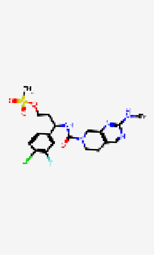 CC(C)Nc1ncc2c(n1)CN(C(=O)NC(CCOS(C)(=O)=O)c1ccc(Cl)c(F)c1)CC2